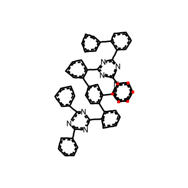 c1ccc(-c2nc(-c3ccccc3-c3ccccc3)nc(-c3ccccc3-c3ccc(-c4ccccc4-c4nc(-c5ccccc5)nc(-c5ccccc5)n4)c(-c4ccccn4)c3)n2)cc1